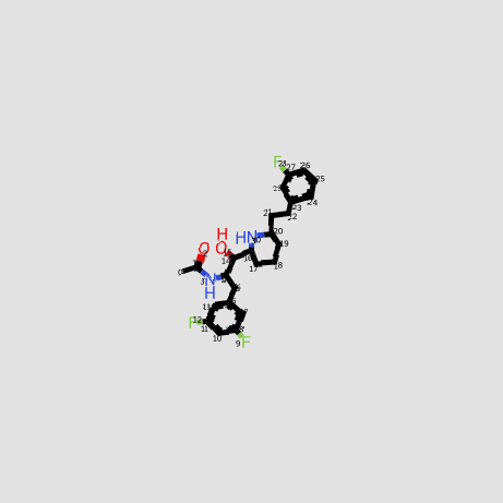 CC(=O)NC(Cc1cc(F)cc(F)c1)C(O)C1CCCC(CCc2cccc(F)c2)N1